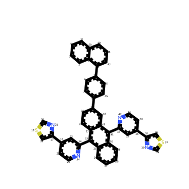 c1ccc2c(-c3ccc(-c4ccc5c(-c6cc(-c7cscn7)ccn6)c6ccccc6c(-c6cc(-c7cscn7)ccn6)c5c4)cc3)cccc2c1